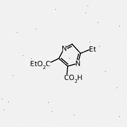 CCOC(=O)c1ncc(CC)nc1C(=O)O